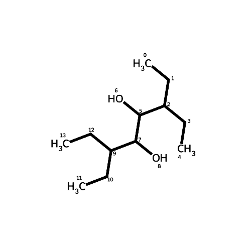 CCC(CC)C(O)C(O)C(CC)CC